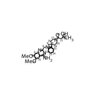 COc1cc2nc(CNCC3(c4ccccc4)CCN(C(=O)C[C@H](C)O)CC3)nc(N)c2cc1OC